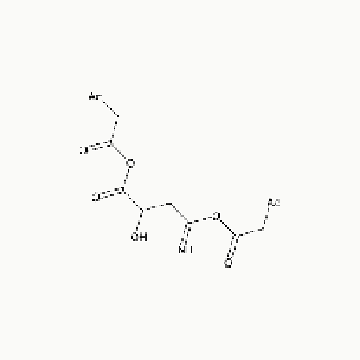 CC(=O)CC(=O)OC(=N)CC(O)C(=O)OC(=O)CC(C)=O